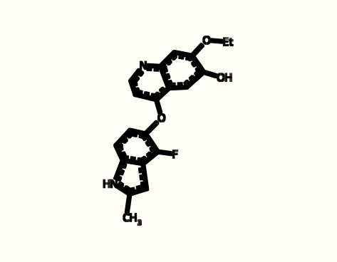 CCOc1cc2nccc(Oc3ccc4[nH]c(C)cc4c3F)c2cc1O